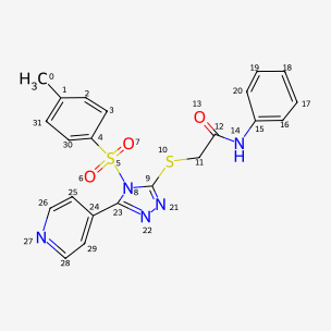 Cc1ccc(S(=O)(=O)n2c(SCC(=O)Nc3ccccc3)nnc2-c2ccncc2)cc1